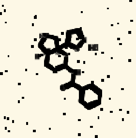 Cl.O=C(NC1=NC[C@H]2CNC[C@]2(c2ccns2)S1)c1ccccc1